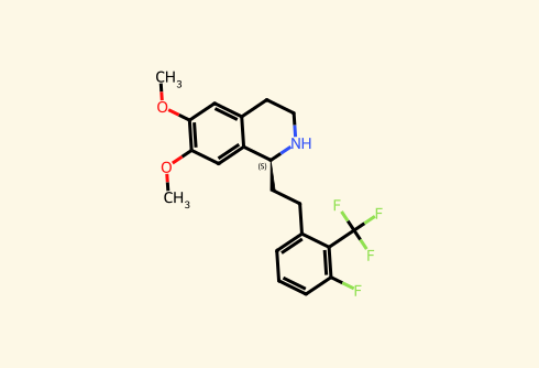 COc1cc2c(cc1OC)[C@H](CCc1cccc(F)c1C(F)(F)F)NCC2